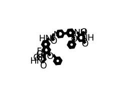 O=C1CCC(Nc2ccc(C3CCN(CC(=O)Nc4ccc5c(F)c(N6CC(=O)NS6(=O)=O)c(OCc6ccccc6)cc5c4)CC3)cc2Oc2ccccc2)C(=O)N1